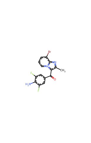 Cc1nc2c(Br)cccn2c1C(=O)c1cc(F)c(N)c(F)c1